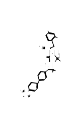 CC(C)(F)C[C@H](N[C@@H](c1ccc(-c2ccc(S(C)(=O)=O)cc2)cc1)C(F)(F)F)C(=O)N[C@H](C#N)Cc1ccc(Cl)cc1Cl